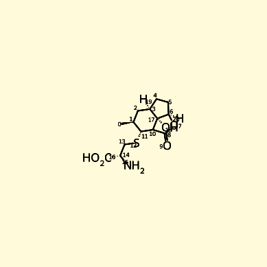 C[C@H]1C[C@H]2CC[C@H]3OC(=O)C([C@@H]1SC[C@H](N)C(=O)O)[C@@]23O